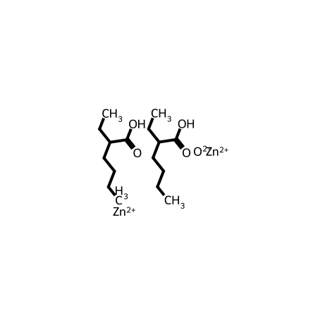 CCCCC(CC)C(=O)O.CCCCC(CC)C(=O)O.[O-2].[Zn+2].[Zn+2]